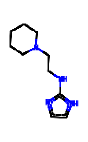 c1c[nH]c(NCCN2CCCCC2)n1